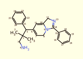 CC(C)(CN)C(C1=CCN2C(=C1)CN=C2c1ccccc1)c1ccccc1